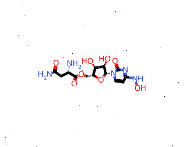 NC(=O)C[C@H](N)C(=O)OC[C@H]1O[C@@H](n2ccc(NO)nc2=O)[C@H](O)[C@@H]1O